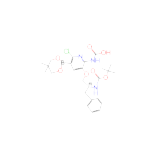 CC1(C)COB(c2cc(OC[C@@H](Cc3ccccc3)NC(=O)OC(C)(C)C)c(NC(=O)O)nc2Cl)OC1